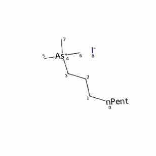 CCCCCCCC[As+](C)(C)C.[I-]